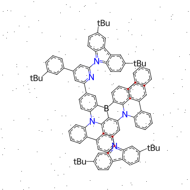 CC(C)(C)c1cccc(-c2cc(-c3ccc4c(c3)B3c5ccc(-c6ccccc6)cc5N(c5ccccc5-c5ccccc5)c5cc(-n6c7cc(C(C)(C)C)ccc7c7ccc(C(C)(C)C)cc76)cc(c53)N4c3ccccc3-c3ccccc3)nc(-n3c4ccc(C(C)(C)C)cc4c4cc(C(C)(C)C)ccc43)c2)c1